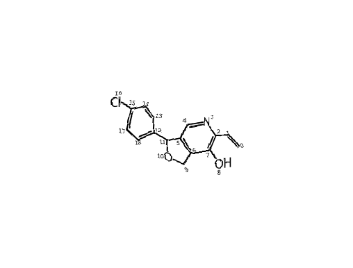 C=Cc1ncc2c(c1O)COC2c1ccc(Cl)cc1